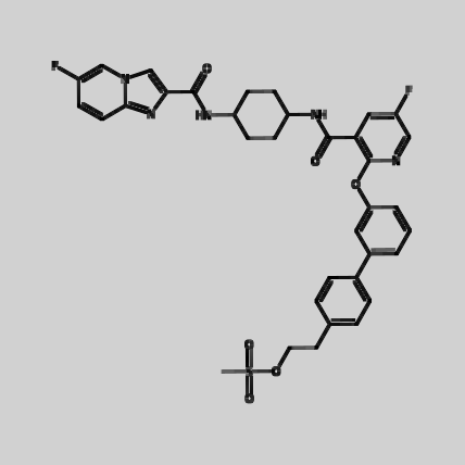 CS(=O)(=O)OCCc1ccc(-c2cccc(Oc3ncc(F)cc3C(=O)NC3CCC(NC(=O)c4cn5cc(F)ccc5n4)CC3)c2)cc1